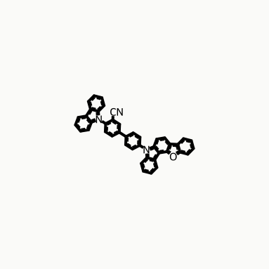 N#Cc1cc(-c2ccc(-n3c4ccccc4c4c5oc6ccccc6c5ccc43)cc2)ccc1-n1c2ccccc2c2ccccc21